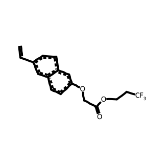 C=Cc1ccc2cc(OCC(=O)OCCC(F)(F)F)ccc2c1